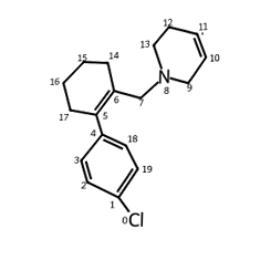 Clc1ccc(C2=C(CN3CC=[C]CC3)CCCC2)cc1